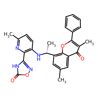 Cc1cc([C@@H](C)Nc2ccc(C)nc2-c2noc(=O)[nH]2)c2oc(-c3ccccc3)c(C)c(=O)c2c1